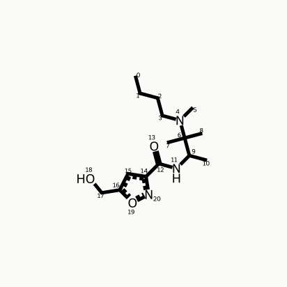 CCCCN(C)C(C)(C)C(C)NC(=O)c1cc(CO)on1